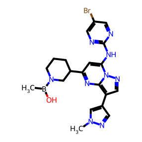 CB(O)N1CCCC(c2cc(Nc3ncc(Br)cn3)n3ncc(-c4cnn(C)c4)c3n2)C1